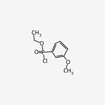 CCOP(=O)(Cl)c1cccc(OC)c1